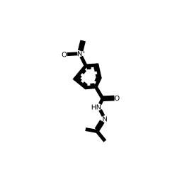 C=[N+]([O-])c1ccc(C(=O)NN=C(C)C)cc1